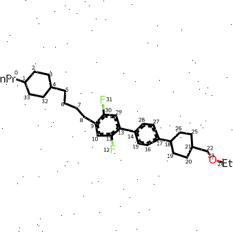 CCCC1CCC(CCCCc2cc(F)c(-c3ccc(C4CCC(COCC)CC4)cc3)cc2F)CC1